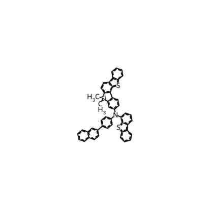 C[Si]1(C)c2cc(N(c3ccc(-c4ccc5ccccc5c4)cc3)c3cccc4c3sc3ccccc34)ccc2-c2c1ccc1c2sc2ccccc21